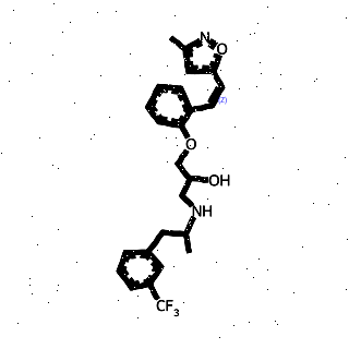 Cc1cc(/C=C\c2ccccc2OCC(O)CNC(C)Cc2cccc(C(F)(F)F)c2)on1